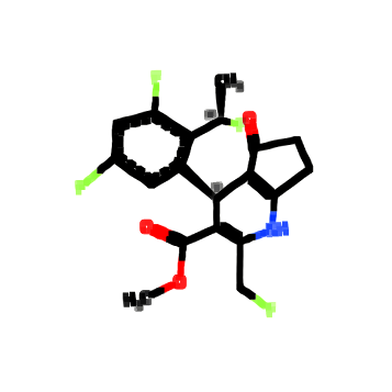 COC(=O)C1=C(CF)NC2=C(C(=O)CC2)[C@@H]1c1cc(F)cc(F)c1[C@@H](C)F